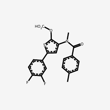 Cc1ccc(C(=O)N(C)c2cc(-c3ccc(F)c(F)c3)sc2OC(=O)O)cc1